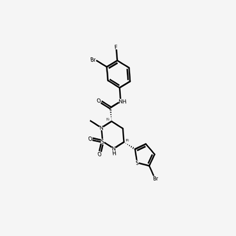 CN1[C@H](C(=O)Nc2ccc(F)c(Br)c2)C[C@H](c2ccc(Br)s2)NS1(=O)=O